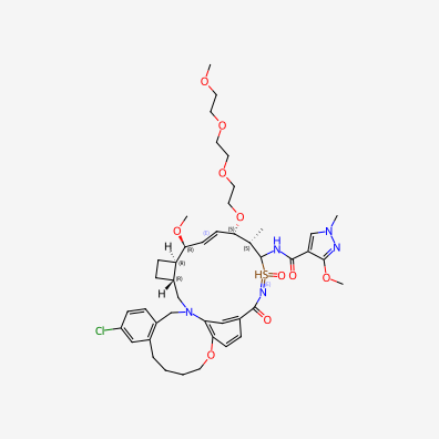 COCCOCCOCCO[C@H]1/C=C/[C@H](OC)[C@@H]2CC[C@H]2CN2Cc3ccc(Cl)cc3CCCCOc3ccc(cc32)C(=O)/N=[SH](=O)\C(NC(=O)c2cn(C)nc2OC)[C@H]1C